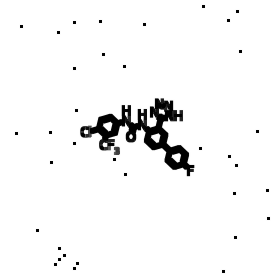 O=C(Nc1ccc(Cl)c(C(F)(F)F)c1)Nc1ccc(-c2ccc(F)cc2)cc1-c1nnn[nH]1